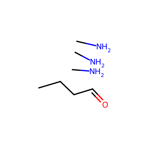 CCCC=O.CN.CN.CN